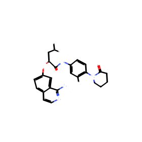 Cc1cc(NC(=O)C(CC(C)C)Oc2ccc3ccnc(N)c3c2)ccc1N1CCCCC1=O